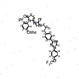 COc1ccc(C(C)C)c(N2C(=O)CS/C2=N\C(=O)NCC(C)Cc2ccc(-c3ncn(-c4ccc(OC(F)(F)F)cc4)n3)cc2)c1